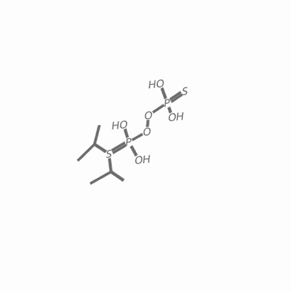 CC(C)S(C(C)C)=P(O)(O)OOP(O)(O)=S